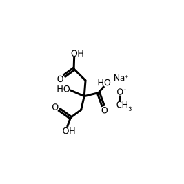 C[O-].O=C(O)CC(O)(CC(=O)O)C(=O)O.[Na+]